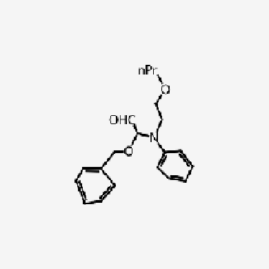 CCCOCCN(c1ccccc1)C(C=O)OCc1ccccc1